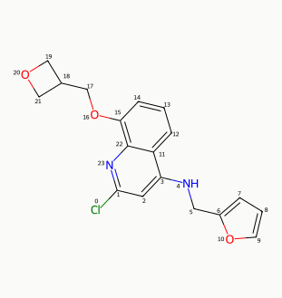 Clc1cc(NCc2ccco2)c2cccc(OCC3COC3)c2n1